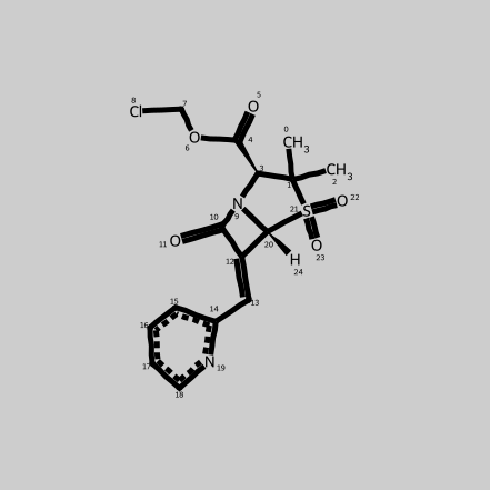 CC1(C)[C@H](C(=O)OCCl)N2C(=O)/C(=C\c3ccccn3)[C@H]2S1(=O)=O